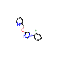 Fc1ccccc1-n1cnc(OCc2ccccn2)c1